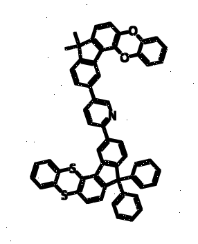 CC1(C)c2ccc(-c3ccc(-c4ccc5c(c4)-c4c(ccc6c4Sc4ccccc4S6)C5(c4ccccc4)c4ccccc4)nc3)cc2-c2c1ccc1c2Oc2ccccc2O1